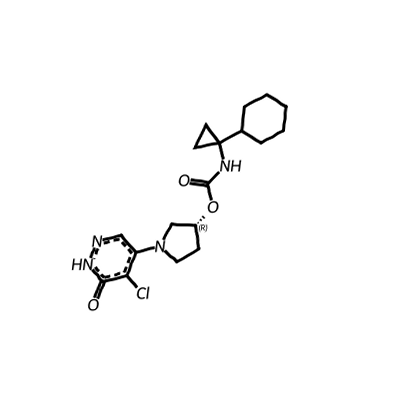 O=C(NC1(C2CCCCC2)CC1)O[C@@H]1CCN(c2cn[nH]c(=O)c2Cl)C1